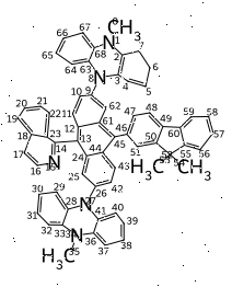 CN1C2=C(C=CCC2)N(c2ccc3c(-c4nccc5ccccc45)c4cc(N5c6ccccc6N(C)c6ccccc65)ccc4c(-c4ccc5c(c4)C(C)(C)c4ccccc4-5)c3c2)c2ccccc21